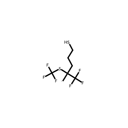 [CH2]C(CCCS)(SC(F)(F)F)C(F)(F)F